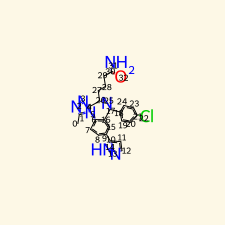 Cc1nnc2n1-c1ccc(-c3ccn[nH]3)cc1C(c1ccc(Cl)cc1)=NC2CCCC(N)=O